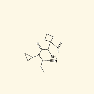 C=C(C)C1(C(N)C(=O)N(C(C#N)CC)C2CC2)CCC1